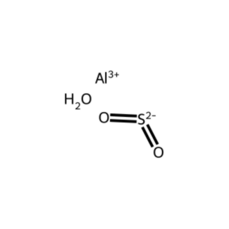 O.O=[S-2]=O.[Al+3]